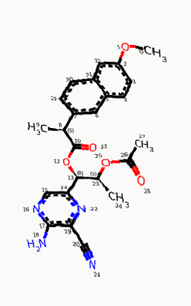 COc1ccc2cc([C@H](C)C(=O)O[C@H](c3cnc(N)c(C#N)n3)[C@H](C)OC(C)=O)ccc2c1